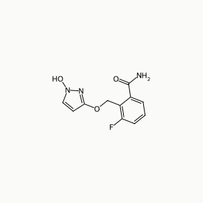 NC(=O)c1cccc(F)c1COc1ccn(O)n1